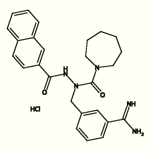 Cl.N=C(N)c1cccc(CN(NC(=O)c2ccc3ccccc3c2)C(=O)N2CCCCCC2)c1